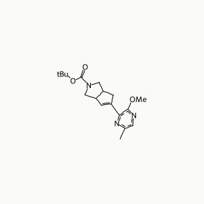 COc1ncc(C)nc1C1=CC2CN(C(=O)OC(C)(C)C)CC2C1